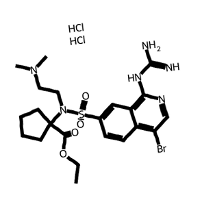 CCOC(=O)C1(N(CCN(C)C)S(=O)(=O)c2ccc3c(Br)cnc(NC(=N)N)c3c2)CCCC1.Cl.Cl